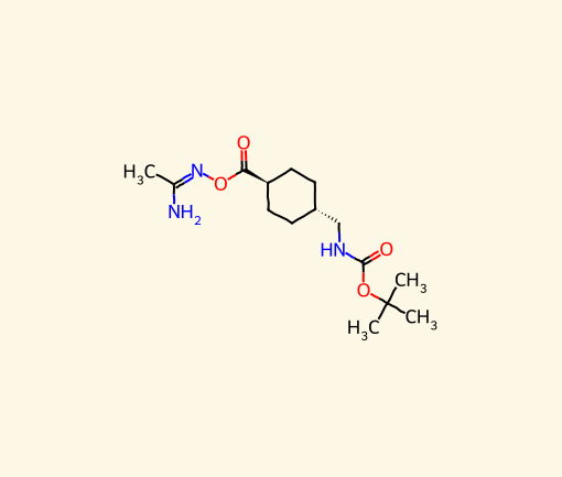 C/C(N)=N/OC(=O)[C@H]1CC[C@H](CNC(=O)OC(C)(C)C)CC1